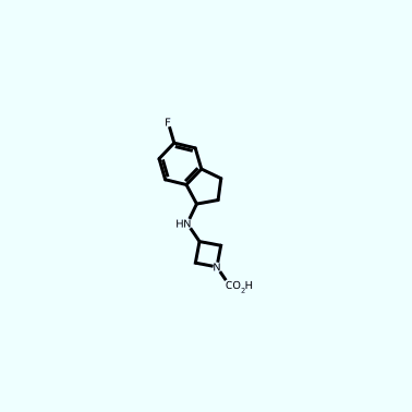 O=C(O)N1CC(NC2CCc3cc(F)ccc32)C1